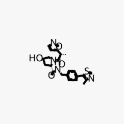 Cc1ncsc1-c1ccc(CNC(=O)[C@@H]2C[C@@H](O)CN2C(=O)[C@@H](C)c2ccno2)cc1